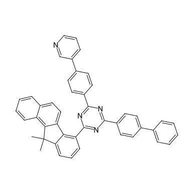 CC1(C)c2cccc(-c3nc(-c4ccc(-c5ccccc5)cc4)nc(-c4ccc(-c5cccnc5)cc4)n3)c2-c2ccc3ccccc3c21